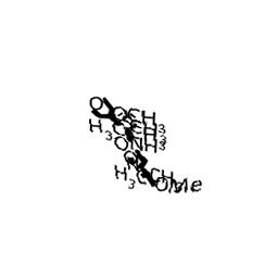 COCC(C)(C)c1cc(NC(=O)C(C)(C)S(C)(C)(=O)CC2CCOCC2)on1